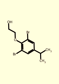 CC(C)c1cc(Br)c(OCCO)c(Br)c1